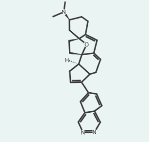 CN(C)[C@H]1CCC2=CC3=CCC4C(c5ccc6cnncc6c5)=CC[C@H]4[C@@]34CC[C@]2(C1)O4